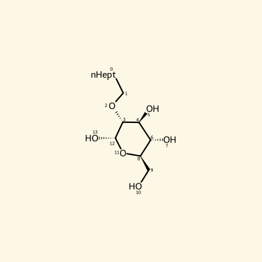 CCCCCCCCO[C@@H]1[C@@H](O)[C@H](O)[C@@H](CO)O[C@@H]1O